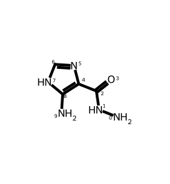 NNC(=O)c1nc[nH]c1N